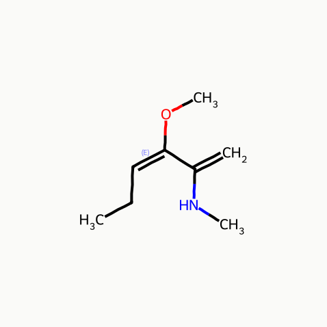 C=C(NC)/C(=C\CC)OC